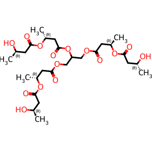 C[C@H](CC(=O)OCC(COC(=O)C[C@@H](C)OC(=O)C[C@@H](C)O)OC(=O)C[C@@H](C)OC(=O)C[C@@H](C)O)OC(=O)C[C@@H](C)O